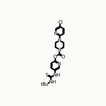 CC(C)(C)NC(=S)Nc1ccc(OC(=O)N2CCN(c3ccc(Cl)cn3)CC2)nc1